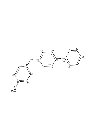 CC(=O)c1ccc(Cc2ccc(-c3ccccc3)cc2)cc1